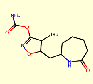 CC(C)(C)C1C(OC(N)=O)=NOC1CC1CCCCC(=O)N1